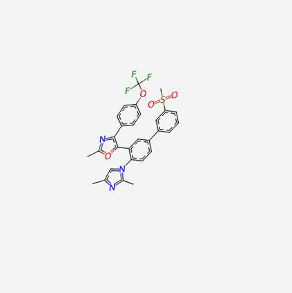 Cc1cn(-c2ccc(-c3cccc(S(C)(=O)=O)c3)cc2-c2oc(C)nc2-c2ccc(OC(F)(F)F)cc2)c(C)n1